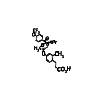 CCCN(C[C@@H](C)Oc1ccc(CCC(=O)O)c(C)c1)S(=O)(=O)c1ccc(OC(F)(F)F)cc1